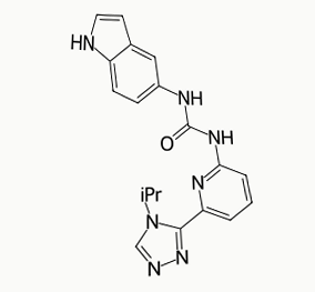 CC(C)n1cnnc1-c1cccc(NC(=O)Nc2ccc3[nH]ccc3c2)n1